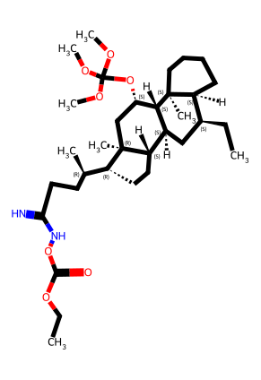 CCOC(=O)ONC(=N)CC[C@@H](C)[C@H]1CC[C@H]2[C@@H]3C[C@H](CC)[C@@H]4CCCC[C@]4(C)[C@H]3[C@@H](OC(OC)(OC)OC)C[C@]12C